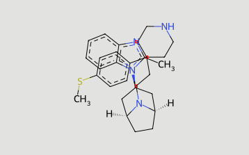 CSc1ccc(C2(CCN3[C@@H]4CC[C@H]3C[C@@H](n3c(C)nc5ccccc53)C4)CCNCC2)cc1